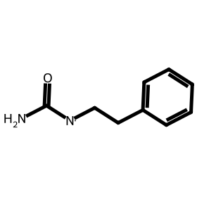 NC(=O)[N]CCc1ccccc1